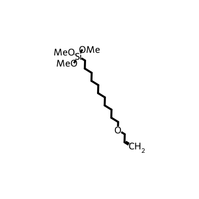 C=CCOCCCCCCCCCCC[Si](OC)(OC)OC